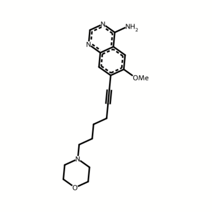 COc1cc2c(N)ncnc2cc1C#CCCCCN1CCOCC1